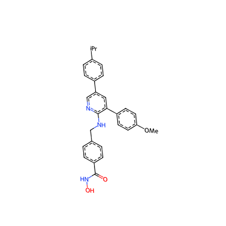 COc1ccc(-c2cc(-c3ccc(C(C)C)cc3)cnc2NCc2ccc(C(=O)NO)cc2)cc1